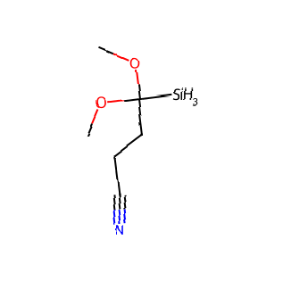 COC([SiH3])(CCC#N)OC